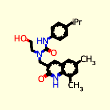 Cc1cc(C)c2[nH]c(=O)c(CN(CCO)C(=O)Nc3ccc(C(C)C)cc3)cc2c1